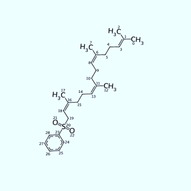 CC(C)=CCCC(C)=CCCC(C)=CCCC(C)=CCS(=O)(=O)c1ccccc1